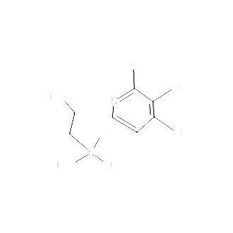 C[N+](C)(C)CCO.Clc1ccnc(Cl)c1Cl